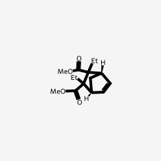 CCC1(C(=O)OC)[C@@H]2C=C[C@H](C2)C1(CC)C(=O)OC